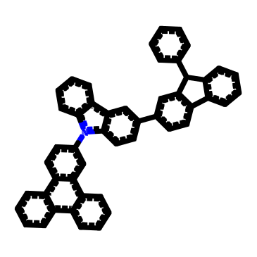 c1ccc(C2c3ccccc3-c3ccc(-c4ccc5c(c4)c4ccccc4n5-c4ccc5c6ccccc6c6ccccc6c5c4)cc32)cc1